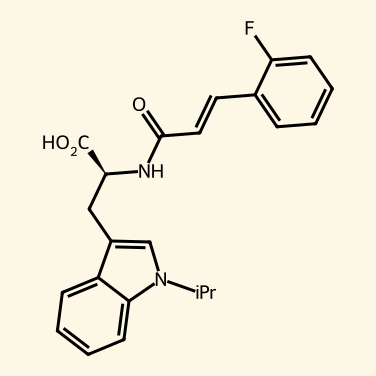 CC(C)n1cc(C[C@H](NC(=O)/C=C/c2ccccc2F)C(=O)O)c2ccccc21